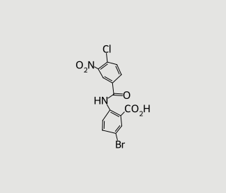 O=C(Nc1ccc(Br)cc1C(=O)O)c1ccc(Cl)c([N+](=O)[O-])c1